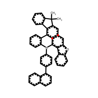 CC1(C)c2ccccc2-c2c(-c3ccccc3N(c3ccc(-c4cccc5ccccc45)cc3)c3cccc4oc5ccccc5c34)cccc21